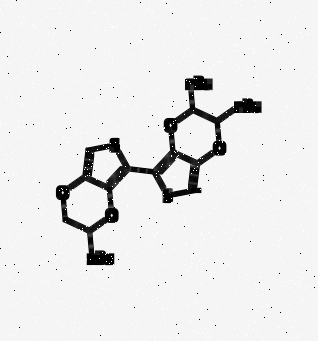 CCCCC1COc2csc(-c3s[c]c4c3OC(CCCC)C(CCCC)O4)c2O1